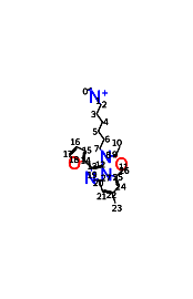 C#[N+]CCCCCCN(C(C)=O)c1c(-c2ccco2)nc2cc(C)cc(C)n12